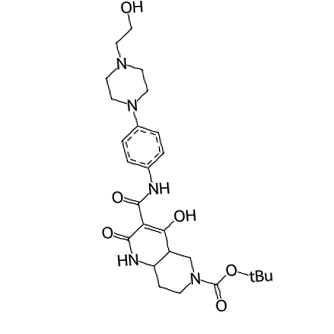 CC(C)(C)OC(=O)N1CCC2NC(=O)C(C(=O)Nc3ccc(N4CCN(CCO)CC4)cc3)=C(O)C2C1